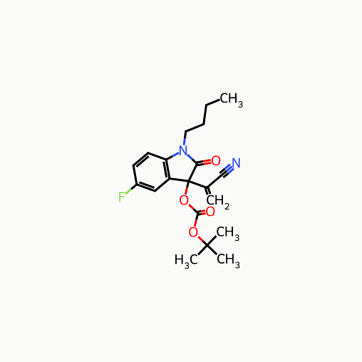 C=C(C#N)C1(OC(=O)OC(C)(C)C)C(=O)N(CCCC)c2ccc(F)cc21